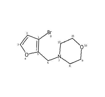 Brc1ccoc1CN1CCOCC1